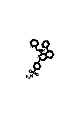 NS(=O)(=O)c1ccc(-c2cc3cccc(-c4ccccc4)c3c(NCc3ccccn3)n2)cc1